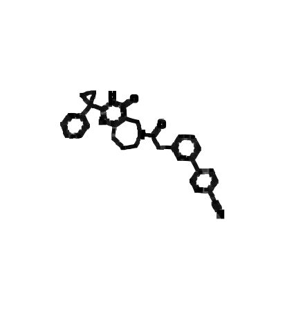 N#Cc1ccc(-c2cccc(CC(=O)N3CCCc4nc(C5(c6ccccc6)CC5)[nH]c(=O)c4C3)c2)cc1